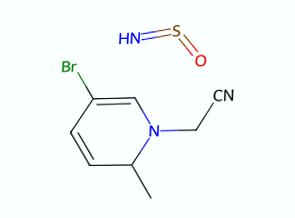 CC1C=CC(Br)=CN1CC#N.N=S=O